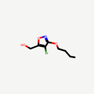 CCCCOc1noc(CO)c1Br